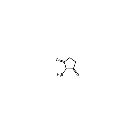 BC1C(=O)CCC1=O